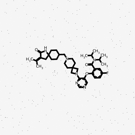 CC(C)=C1CC2(CCC(CN3CCC4(CC3)CN(c3ncncc3Oc3ccc(F)cc3C(=O)N(C(C)C)C(C)C)C4)CC2)NC1=O